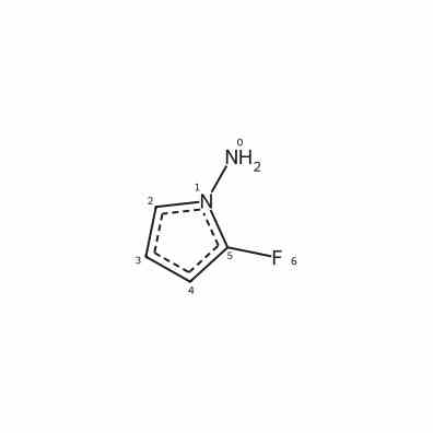 Nn1cccc1F